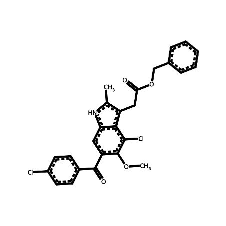 COc1c(C(=O)c2ccc(Cl)cc2)cc2[nH]c(C)c(CC(=O)OCc3ccccc3)c2c1Cl